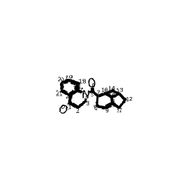 O=C1CCN(C(=O)C23CC=C4CCC(C2)C4C3)c2ccccc21